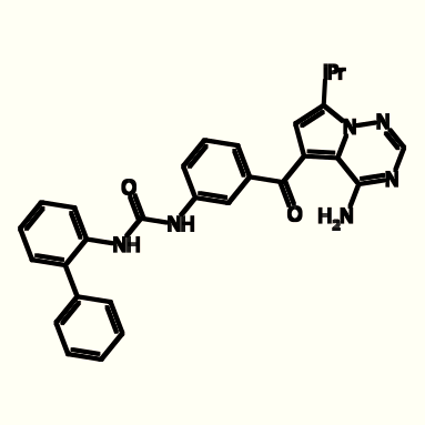 CC(C)c1cc(C(=O)c2cccc(NC(=O)Nc3ccccc3-c3ccccc3)c2)c2c(N)ncnn12